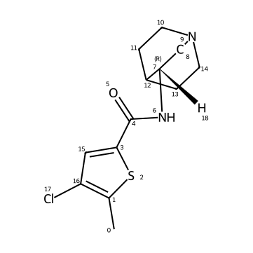 Cc1sc(C(=O)N[C@H]2CN3CCC2CC3)cc1Cl